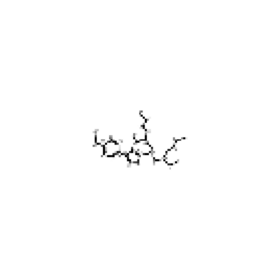 CCCCC(CC)CN(CC(CC)CCCC)c1nc(-c2ccc(CC)cc2)cs1